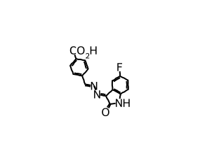 O=C1Nc2ccc(F)cc2C1=NN=Cc1ccc(C(=O)O)cc1